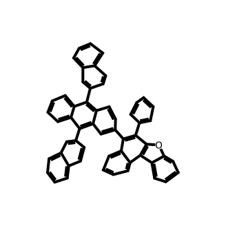 c1ccc(-c2c(-c3ccc4c(-c5ccc6ccccc6c5)c5ccccc5c(-c5ccc6ccccc6c5)c4c3)c3ccccc3c3c2oc2ccccc23)cc1